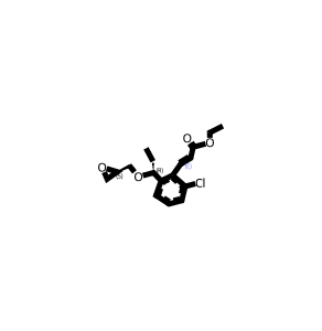 CCOC(=O)/C=C/c1c(Cl)cccc1[C@@H](CC)OC[C@H]1CO1